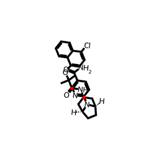 CC(C)(Oc1ccc(Cl)c2ccccc12)C(=O)N[C@H]1C[C@H]2CC[C@@H](C1)N2c1ccc(C(N)=O)cn1